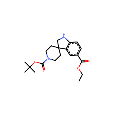 CCOC(=O)c1ccc2c(c1)C1(CCN(C(=O)OC(C)(C)C)CC1)CN2